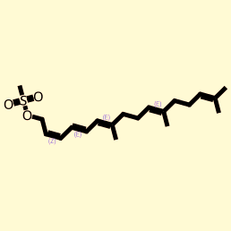 CC(C)=CCC/C(C)=C/CC/C(C)=C/C=C/C=C\COS(C)(=O)=O